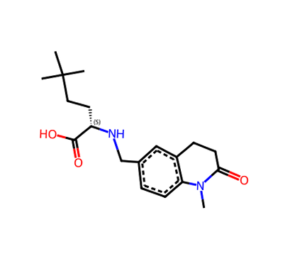 CN1C(=O)CCc2cc(CN[C@@H](CCC(C)(C)C)C(=O)O)ccc21